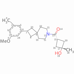 COc1cc(C)cc(C2CC3(CCN(C(=O)[C@H]4C[C@@](C)(O)C4)CC3)C2)c1